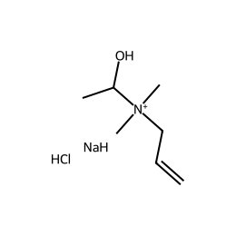 C=CC[N+](C)(C)C(C)O.Cl.[NaH]